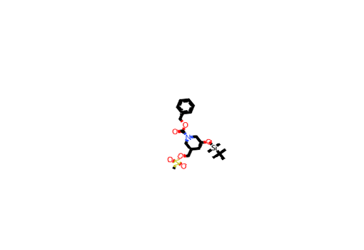 CC(C)(C)[Si](C)(C)OC1CC(COS(C)(=O)=O)CN(C(=O)OCc2ccccc2)C1